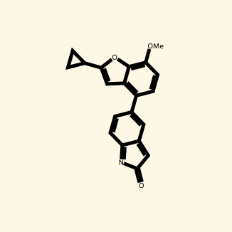 COc1ccc(-c2ccc3c(c2)=CC(=O)N=3)c2cc(C3CC3)oc12